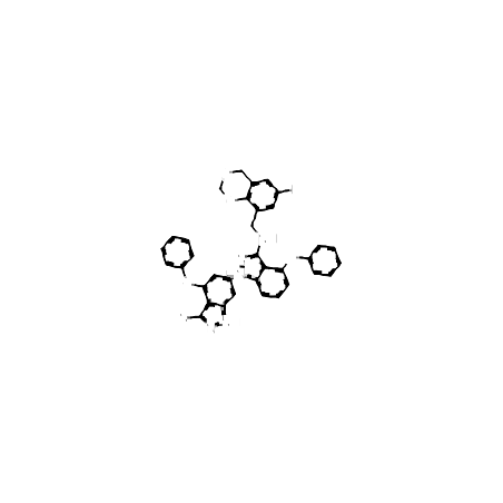 Fc1cc(CNc2n[nH]c3cccc(Oc4ccccc4)c23)c2c(c1)COCO2.Nc1n[nH]c2cccc(Oc3ccccc3)c12